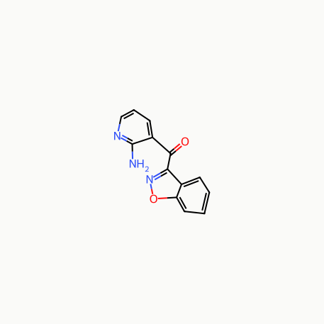 Nc1ncccc1C(=O)c1noc2ccccc12